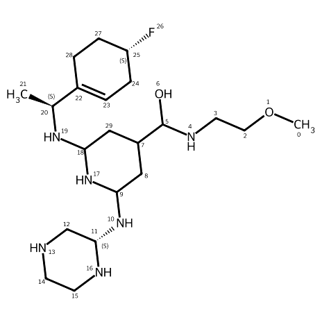 COCCNC(O)C1CC(N[C@H]2CNCCN2)NC(N[C@@H](C)C2=CC[C@@H](F)CC2)C1